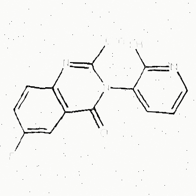 Cc1ncccc1-n1c(C=O)nc2ccc(F)cc2c1=O